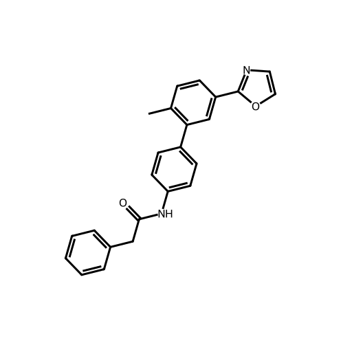 Cc1ccc(-c2ncco2)cc1-c1ccc(NC(=O)Cc2ccccc2)cc1